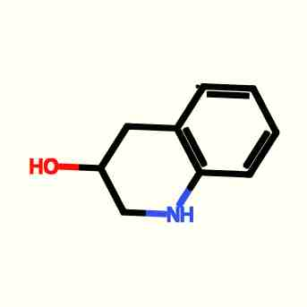 OC1CNc2ccc[c]c2C1